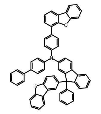 c1ccc(-c2ccc(N(c3ccc(-c4cccc5c4oc4ccccc45)cc3)c3ccc4c(c3)C(c3ccccc3)(c3ccc5sc6ccccc6c5c3)c3ccccc3-4)cc2)cc1